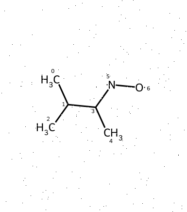 CC(C)C(C)[N][O]